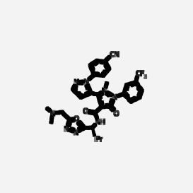 CC(C)[C@H](NC(=O)c1c(-c2ccnn2-c2ccc(C#N)cc2)n(C)n(-c2cccc(C(F)(F)F)c2)c1=O)c1nnc(CN(C)C)o1